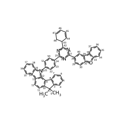 CC1(C)c2ccccc2-c2c1ccc1c3ccccc3n(-c3ccc(-c4nc(-c5ccc6oc7ccccc7c6c5)nc(C5C=CC=CC5)n4)cc3)c21